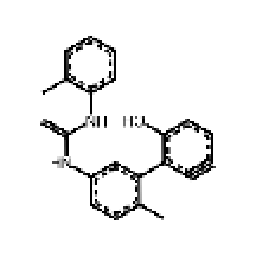 C=C(Nc1ccc(C)c(-c2c#cccc2O)c1)Nc1ccccc1C